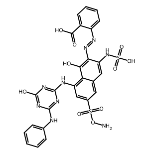 NOS(=O)(=O)c1cc(Nc2nc(O)nc(Nc3ccccc3)n2)c2c(O)c(N=Nc3ccccc3C(=O)O)c(NS(=O)(=O)O)cc2c1